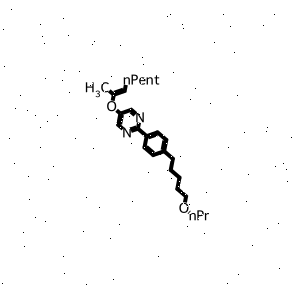 CCCCCC=C(C)Oc1cnc(-c2ccc(CCCCCOCCC)cc2)nc1